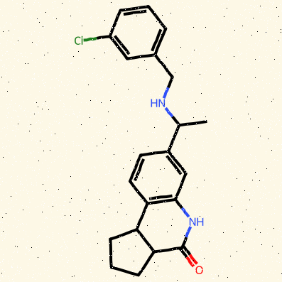 CC(NCc1cccc(Cl)c1)c1ccc2c(c1)NC(=O)C1CCCC21